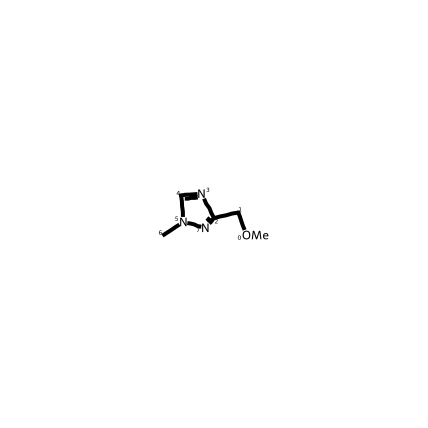 COCc1ncn(C)n1